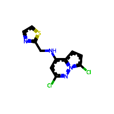 Clc1cc(NCc2nccs2)c2ccc(Cl)n2n1